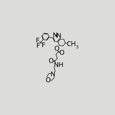 CC1Cc2nnc(-c3cccc(C(F)(F)F)c3)cc2C(OC(=O)CCC(=O)NCCN2CCOCC2)C1